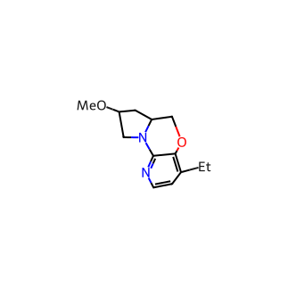 CCc1ccnc2c1OCC1CC(OC)CN21